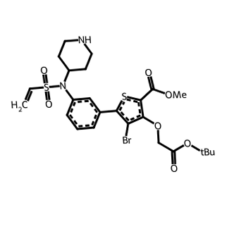 C=CS(=O)(=O)N(c1cccc(-c2sc(C(=O)OC)c(OCC(=O)OC(C)(C)C)c2Br)c1)C1CCNCC1